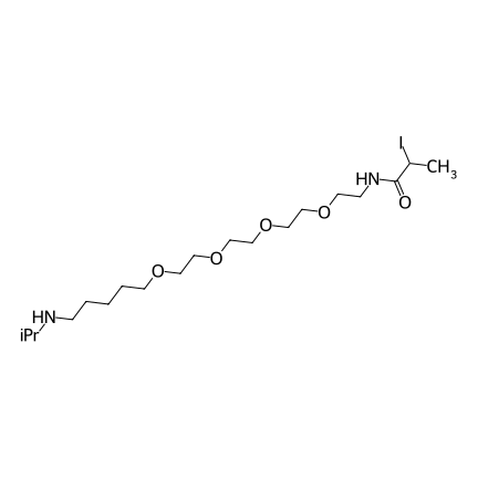 CC(C)NCCCCCOCCOCCOCCOCCNC(=O)C(C)I